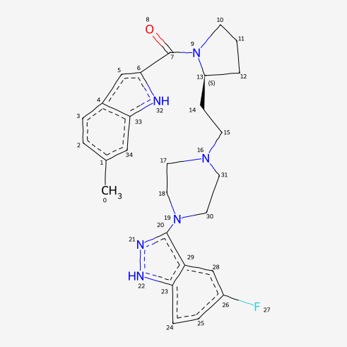 Cc1ccc2cc(C(=O)N3CCC[C@H]3CCN3CCN(c4n[nH]c5ccc(F)cc45)CC3)[nH]c2c1